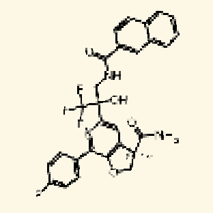 C[C@]1(C(N)=O)COc2c1cc(C(O)(CNC(=O)c1ccc3ccccc3c1)C(F)(F)F)nc2-c1ccc(F)cc1